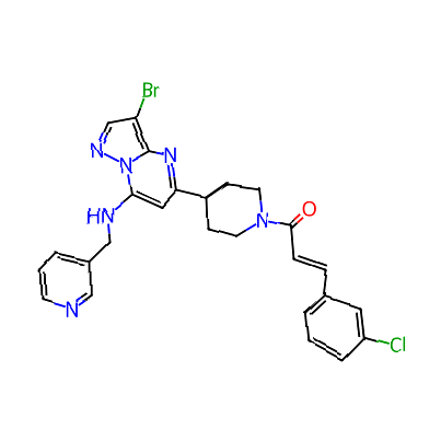 O=C(/C=C/c1cccc(Cl)c1)N1CCC(c2cc(NCc3cccnc3)n3ncc(Br)c3n2)CC1